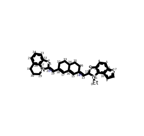 CCN1c2c(ccc3sccc23)SC1/C=C1/C=C2C=C(/C=C3\Sc4cccc5c4N3CCC5)CCC2CC1